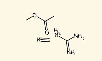 C#N.COC(C)=O.N=C(N)N